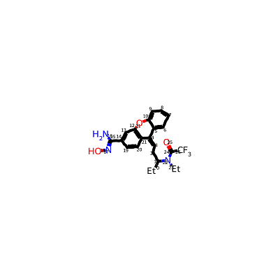 CCC(C/C=C1/c2ccccc2Oc2cc(/C(N)=N/O)ccc21)N(CC)C(=O)C(F)(F)F